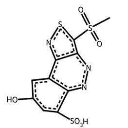 CS(=O)(=O)c1snc2c1nnc1c(S(=O)(=O)O)cc(O)cc12